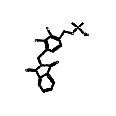 CC(C)(C)[Si](C)(C)OCc1ccc(CN2C(=O)c3ccccc3C2=O)c(F)c1F